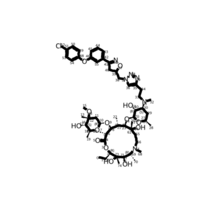 CC[C@H]1OC(=O)[C@H](C)[C@@H](O[C@H]2C[C@@](C)(OC)[C@@H](O)[C@H](C)O2)[C@H](C)[C@@H](O[C@@H]2O[C@H](C)C[C@H](N(C)CCc3cn(CC4CC(c5cccc(Oc6ccc(Cl)cc6)c5)=NO4)nn3)[C@H]2O)[C@](C)(O)CCN(C)[C@H](C)[C@@H](O)[C@]1(C)O